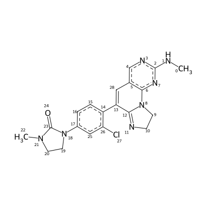 CNc1ncc2c(n1)N1CCN=C1C(c1ccc(N3CCN(C)C3=O)cc1Cl)=C2